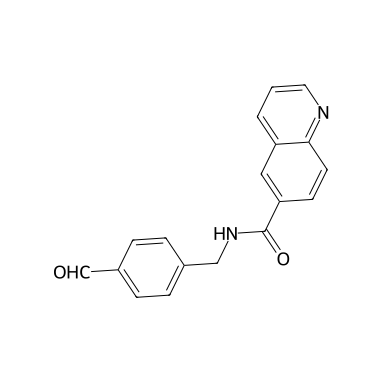 O=Cc1ccc(CNC(=O)c2ccc3ncccc3c2)cc1